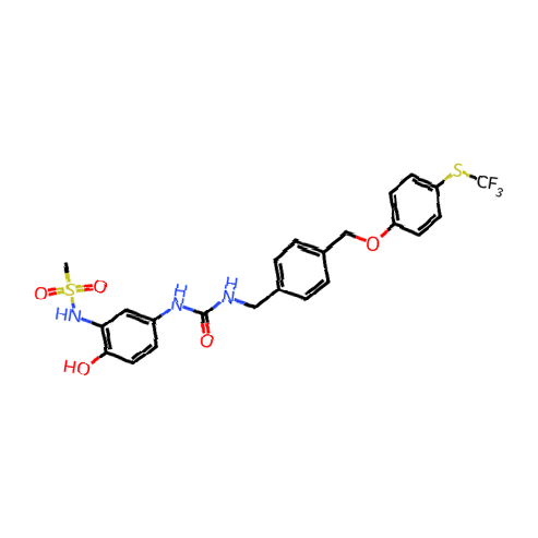 CS(=O)(=O)Nc1cc(NC(=O)NCc2ccc(COc3ccc(SC(F)(F)F)cc3)cc2)ccc1O